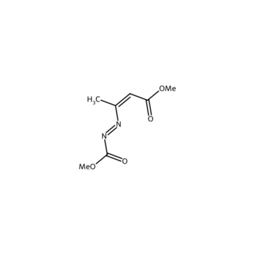 COC(=O)C=C(C)N=NC(=O)OC